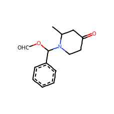 CC1CC(=O)CCN1C(OC=O)c1ccccc1